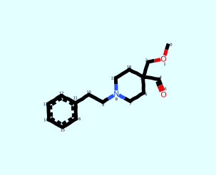 COCC1(C=O)CCN([CH]Cc2ccccc2)CC1